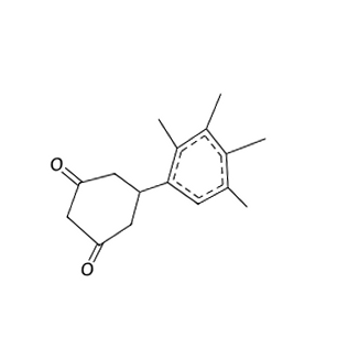 Cc1cc(C2CC(=O)CC(=O)C2)c(C)c(C)c1C